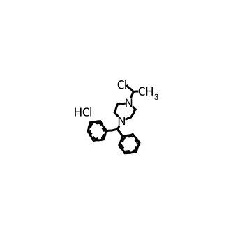 CC(Cl)N1CCN(C(c2ccccc2)c2ccccc2)CC1.Cl